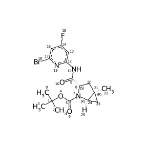 CC(C)(C)OC(=O)N1[C@H](C(=O)Nc2cc(F)cc(Br)n2)C[C@@]2(C)C[C@@H]12